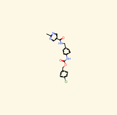 Cc1ncc(C(=O)NCc2ccc(NC(=O)OCc3ccc(Cl)cc3)cc2)cn1